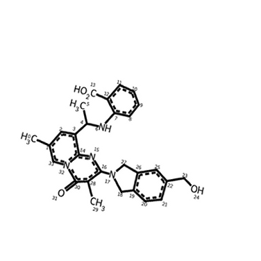 Cc1cc(C(C)Nc2ccccc2C(=O)O)c2nc(N3Cc4ccc(CO)cc4C3)c(C)c(=O)n2c1